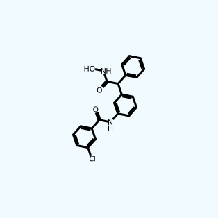 O=C(Nc1cccc(C(C(=O)NO)c2ccccc2)c1)c1cccc(Cl)c1